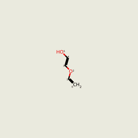 C=COC=CO